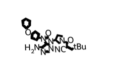 CC(C)(C)/C=C(/C#N)C(=O)N1CCC(n2c(=O)n(-c3ccc(Oc4ccccc4)cc3)c3c(N)ncnc32)C1